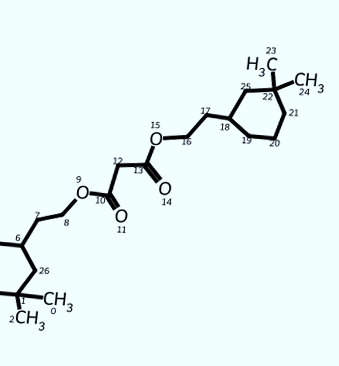 CC1(C)CCCC(CCOC(=O)CC(=O)OCCC2CCCC(C)(C)C2)C1